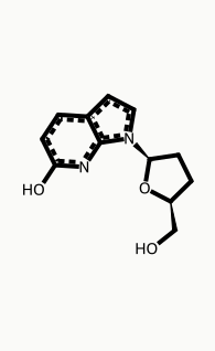 OC[C@@H]1CC[C@H](n2ccc3ccc(O)nc32)O1